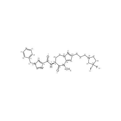 CN1C(=O)[C@@H](NC(=O)c2ncn(Cc3ccccc3)n2)CCn2nc(CCCN3CCC(F)(F)C3)cc21